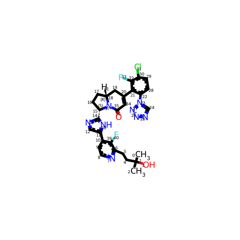 CC(C)(O)CCc1nccc(-c2cnc([C@@H]3CC[C@@H]4CC(c5c(-n6cnnn6)ccc(Cl)c5F)=CC(=O)N43)[nH]2)c1F